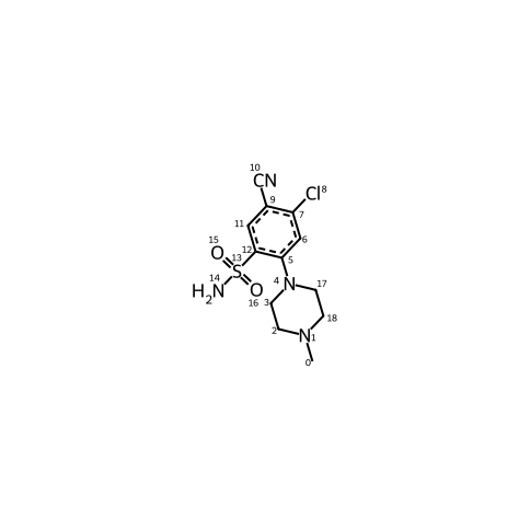 CN1CCN(c2cc(Cl)c(C#N)cc2S(N)(=O)=O)CC1